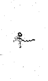 CCCCCCCCCCC(OCCOCC)(Oc1ccccc1)C(=O)O